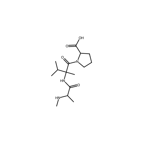 CNC(C)C(=O)NC(C)(C(=O)N1CCCC1C(=O)O)C(C)C